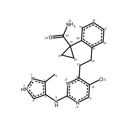 Cc1n[nH]cc1Nc1ncc(Cl)c(CCc2ccccc2C2(C(N)=O)CC2)n1